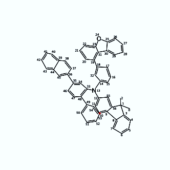 CC1(C)c2ccccc2-c2ccc(N(c3cccc(-c4cccc5oc6ccccc6c45)c3)c3cc(-c4ccc5ccccc5c4)ccc3-c3ccccc3)cc21